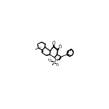 C[C@H]1CCCC2C1=CCC1C2C(=O)C(=O)C2C(c3ccccc3)=CN(S(C)(=O)=O)C21